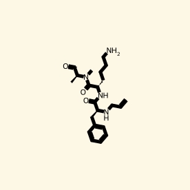 C=CCN[C@@H](Cc1ccccc1)C(=O)N[C@@H](CCCCN)C(=O)N(C)[C@@H](C)[C]=O